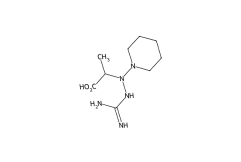 CC(C(=O)O)N(NC(=N)N)N1CCCCC1